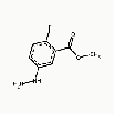 COC(=O)c1cc(NN)ccc1F